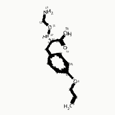 C=CCOc1ccc(C[C@H](BOCN)C(=O)O)cc1